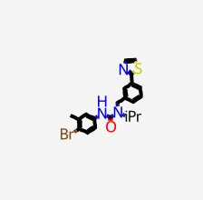 Cc1cc(NC(=O)N(Cc2cccc(-c3nccs3)c2)C(C)C)ccc1Br